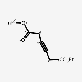 CCCOC(=O)CC#CCC(=O)OCC